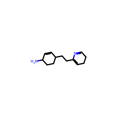 NC1C=CC(CCC2=CCCC=N2)CC1